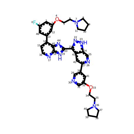 Fc1cc(OCCN2CCCC2)cc(-c2ccnc3[nH]c(-c4n[nH]c5cnc(-c6cncc(OCCN7CCCC7)c6)cc45)nc23)c1